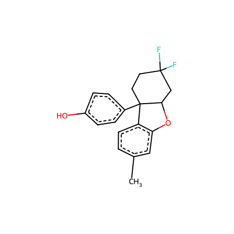 Cc1ccc2c(c1)OC1CC(F)(F)CCC21c1ccc(O)cc1